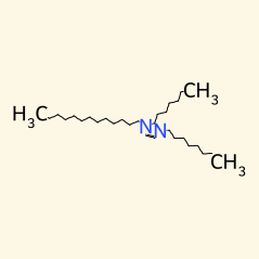 CCCCCCCCCCCCCN1C=CN(CCCCCCCC)C1CCCCCC